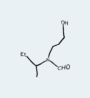 CCC(C)N(C=O)CCO